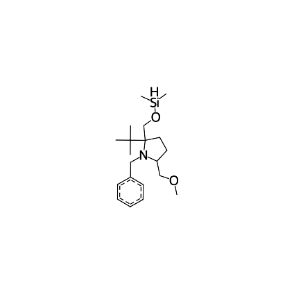 COCC1CCC(CO[SiH](C)C)(C(C)(C)C)N1Cc1ccccc1